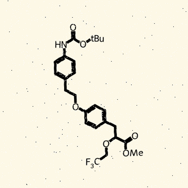 COC(=O)C(Cc1ccc(OCCc2ccc(NC(=O)OC(C)(C)C)cc2)cc1)OCC(F)(F)F